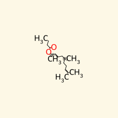 CCCC(=O)O[C@@H](C)C=CC[C@H](C)CCC=C(C)C